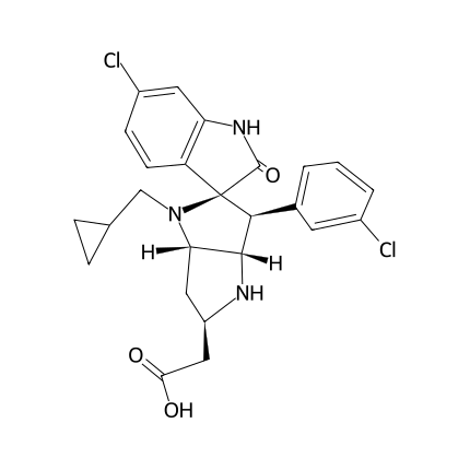 O=C(O)C[C@H]1C[C@H]2[C@@H](N1)[C@H](c1cccc(Cl)c1)[C@]1(C(=O)Nc3cc(Cl)ccc31)N2CC1CC1